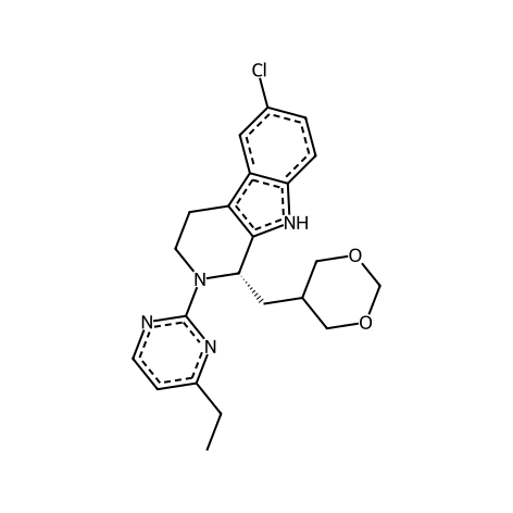 CCc1ccnc(N2CCc3c([nH]c4ccc(Cl)cc34)[C@@H]2CC2COCOC2)n1